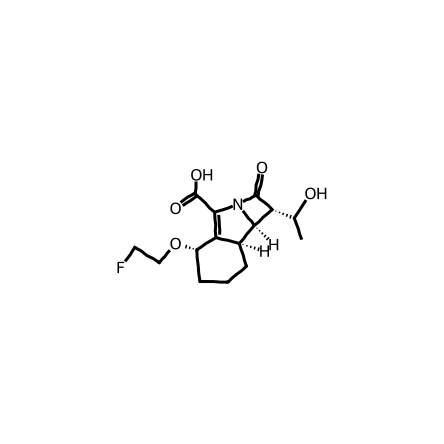 CC(O)[C@H]1C(=O)N2C(C(=O)O)=C3[C@@H](OCCF)CCC[C@@H]3[C@H]12